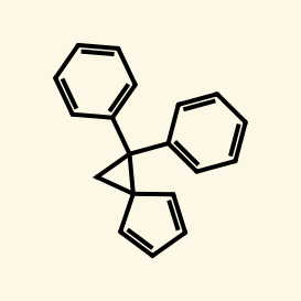 C1=CC2(C=C1)CC2(c1ccccc1)c1ccccc1